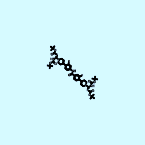 CC(C)(C)OC(=O)/N=C(\NC(=O)OC(C)(C)C)N1CC=C(c2ccc(NC(=O)c3ccc(C4=CCN(/C(=N/C(=O)OC(C)(C)C)NC(=O)OC(C)(C)C)CC4)c(F)c3)cc2F)CC1